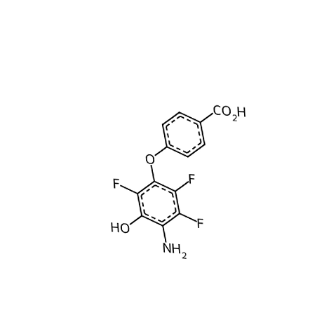 Nc1c(O)c(F)c(Oc2ccc(C(=O)O)cc2)c(F)c1F